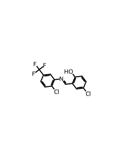 Oc1ccc(Cl)cc1C=Nc1cc(C(F)(F)F)ccc1Cl